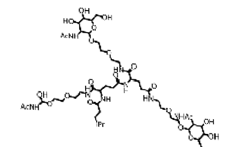 CC(=O)NC(O)OCCOCCNC(=O)C(CCC(=O)NC(CCC(=O)NCCOCCOC1OC(CO)C(O)C(O)C1NC(C)=O)C(=O)NCCOCCOC1OC(CO)C(O)C(O)C1NC(C)=O)NC(=O)CCC(C)C